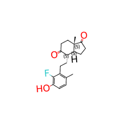 Cc1ccc(O)c(F)c1CC[C@@H]1C(=O)CC[C@]2(C)C(=O)CC[C@@H]12